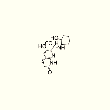 O=C(O)O.O=C1CSc2ccc(CN[C@@H]3CCCC[C@@H]3O)nc2N1